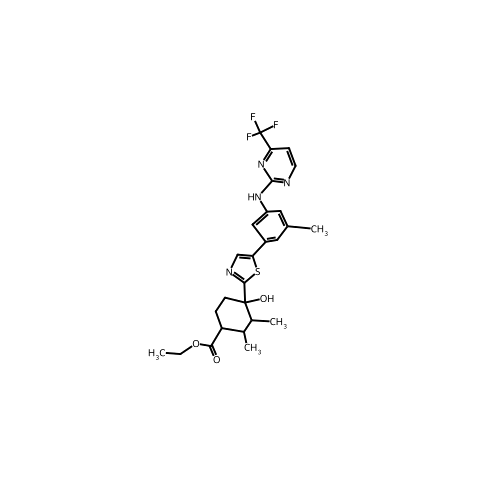 CCOC(=O)C1CCC(O)(c2ncc(-c3cc(C)cc(Nc4nccc(C(F)(F)F)n4)c3)s2)C(C)C1C